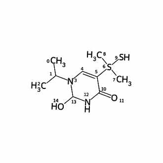 CC(C)N1C=C(S(C)(C)S)C(=O)NC1O